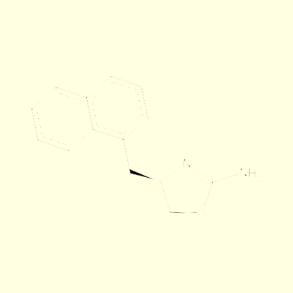 NC1=N[C@H](Cc2cccc3ccccc23)CO1